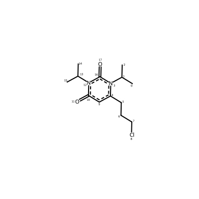 CC(C)n1c(CCCCl)cc(=O)n(C(C)C)c1=O